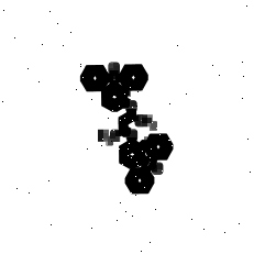 C[C@H](C[C@@H](C)Oc1cccc(P(=O)(c2ccccc2)c2ccccc2)c1I)Oc1cccc(P(=O)(c2ccccc2)c2ccccc2)c1I